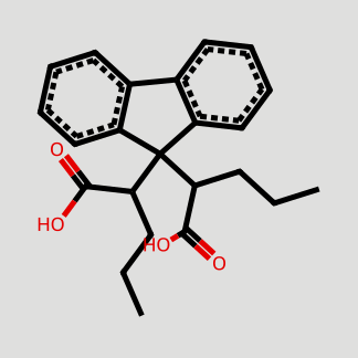 CCCC(C(=O)O)C1(C(CCC)C(=O)O)c2ccccc2-c2ccccc21